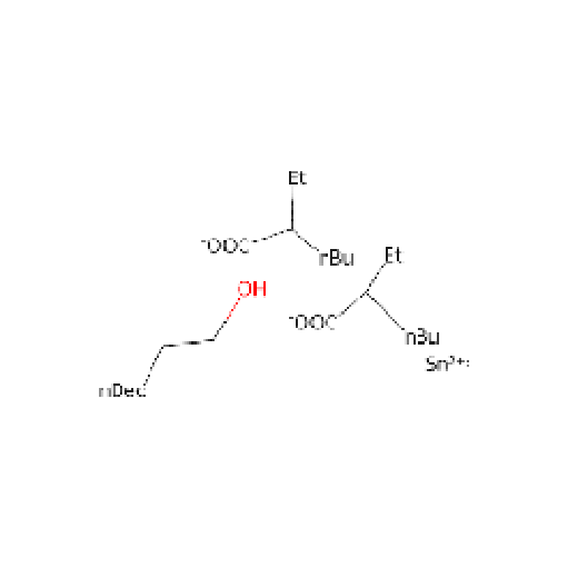 CCCCC(CC)C(=O)[O-].CCCCC(CC)C(=O)[O-].CCCCCCCCCCCCO.[Sn+2]